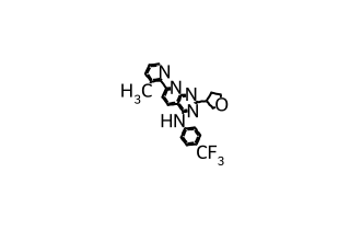 Cc1cccnc1-c1ccc2c(Nc3ccc(C(F)(F)F)cc3)nc(C3CCOC3)nc2n1